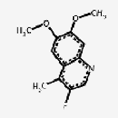 COc1cc2ncc(F)c(C)c2cc1OC